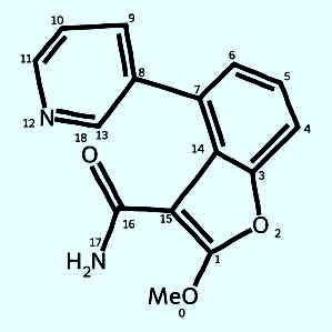 COc1oc2cccc(-c3cccnc3)c2c1C(N)=O